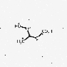 CC(OO)OC(=O)O